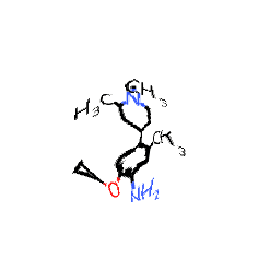 Cc1cc(N)c(OC2=CC2)cc1C1CCN(C)C(C)C1